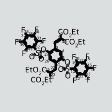 CCOC(=O)C(=Cc1cc(OS(=O)(=O)c2c(F)c(F)c(F)c(F)c2F)c(CC(C(=O)OCC)C(=O)OCC)cc1OS(=O)(=O)c1c(F)c(F)c(F)c(F)c1F)C(=O)OCC